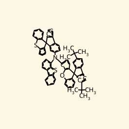 CC(C)(C)c1ccc2c(c1)C1(C3=C(CC(N(c4ccc5c(c4)C4(c6ccccc6Sc6ccccc64)c4ccccc4-5)c4cccc5c4sc4ccccc45)=CC=C3)Oc3ccccc31)c1cc(C(C)(C)C)ccc1-2